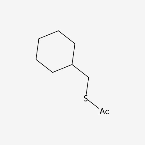 CC(=O)SCC1CCCCC1